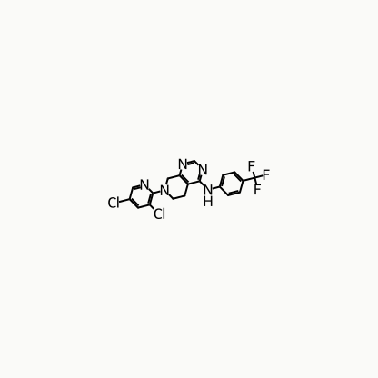 FC(F)(F)c1ccc(Nc2ncnc3c2CCN(c2ncc(Cl)cc2Cl)C3)cc1